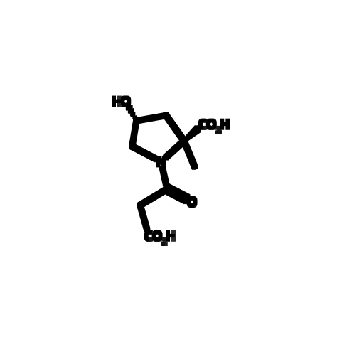 C[C@@]1(C(=O)O)C[C@@H](O)CN1C(=O)CC(=O)O